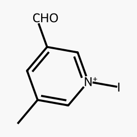 Cc1cc(C=O)c[n+](I)c1